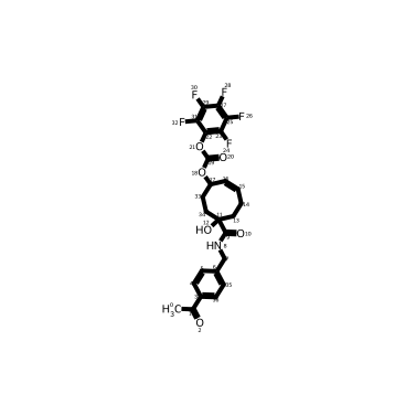 CC(=O)c1ccc(CNC(=O)C2(O)CCC=CC(OC(=O)Oc3c(F)c(F)c(F)c(F)c3F)CC2)cc1